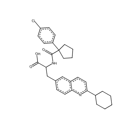 O=C(O)C(Cc1ccc2nc(C3CCCCC3)ccc2c1)NC(=O)C1(c2ccc(Cl)cc2)CCCC1